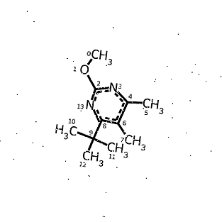 COc1nc(C)c(C)c(C(C)(C)C)n1